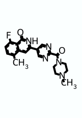 Cc1ccc(F)c2c(=O)[nH]c(-c3cnc(C(=O)N4CCN(C)CC4)nc3)cc12